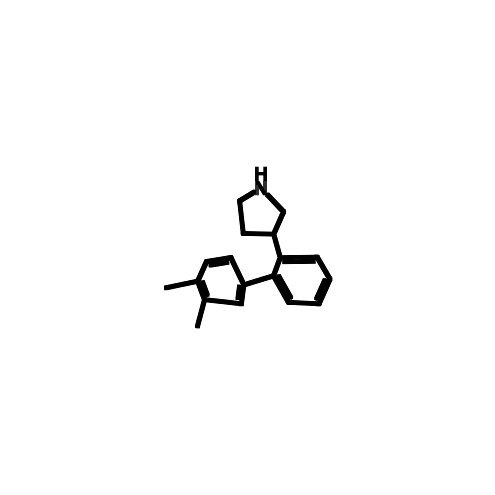 Cc1ccc(-c2ccccc2C2CCNC2)cc1C